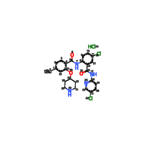 CC(C)(C)c1ccc(C(=O)Nc2ccc(Cl)cc2C(=O)Nc2ccc(Cl)cn2)c(OC2CCNCC2)c1.Cl